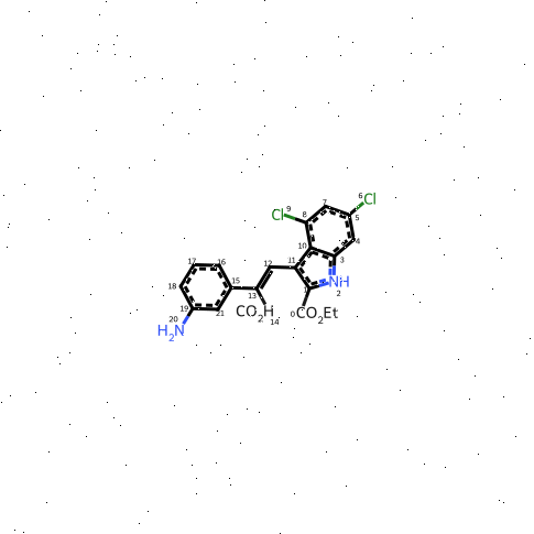 CCOC(=O)c1[nH]c2cc(Cl)cc(Cl)c2c1C=C(C(=O)O)c1cccc(N)c1